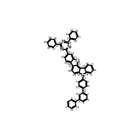 c1ccc(-c2cccc(-c3ccc(-n4c5ccccc5c5c6oc7cc(-c8nc(-c9ccccc9)nc(-c9ccccc9)n8)ccc7c6ccc54)cc3)c2)cc1